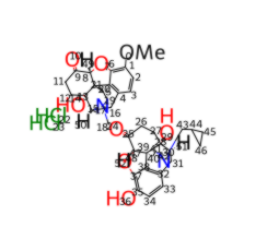 COc1ccc2c3c1O[C@H]1C(=O)CC[C@@]4(O)[C@@H](C2)N(C)CC[C@]314.Cl.Cl.O=C1CC[C@@]2(O)[C@H]3Cc4ccc(O)c5c4[C@@]2(CCN3CC2CC2)[C@H]1O5